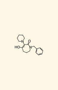 O=C1C(N2CCCCC2)=C(O)CCCN1Cc1ccccc1